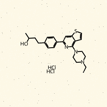 CCN1CCN(c2nc(-c3ccc(CCC(C)O)cc3)cc3sccc23)CC1.Cl.Cl